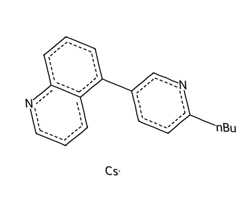 CCCCc1ccc(-c2cccc3ncccc23)cn1.[Cs]